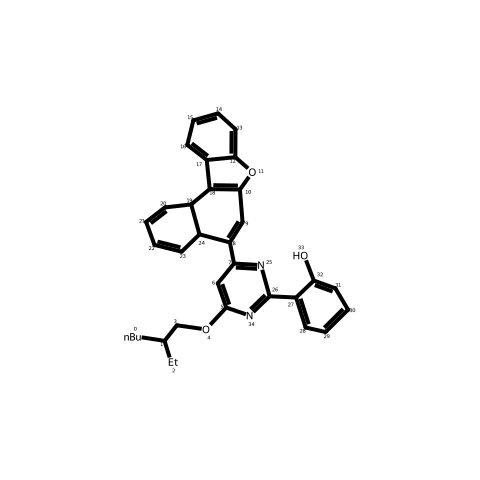 CCCCC(CC)COc1cc(C2=Cc3oc4ccccc4c3C3C=CC=CC23)nc(-c2ccccc2O)n1